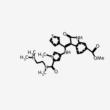 COC(=O)c1ccc2c(c1)NC(=O)C2=C(Nc1cc(C(=O)N(C)CCN(C)C)n(C)c1)c1ccsc1